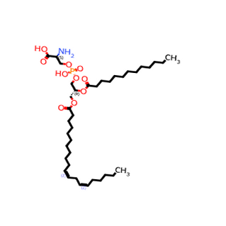 CCCCC/C=C\C/C=C\CCCCCCCCCC(=O)OC[C@H](COP(=O)(O)OC[C@H](N)C(=O)O)OC(=O)CCCCCCCCCCCC